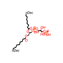 CCCCCCCCCCCCCCCCCC(=O)OC[C@H](COP(=O)(O)OC[C@@H](O)COP(=O)(O)O)OC(=O)CCCCCCCCCCCCCCCCC